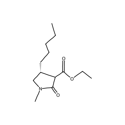 CCCCC[C@H]1CN(C)C(=O)C1C(=O)OCC